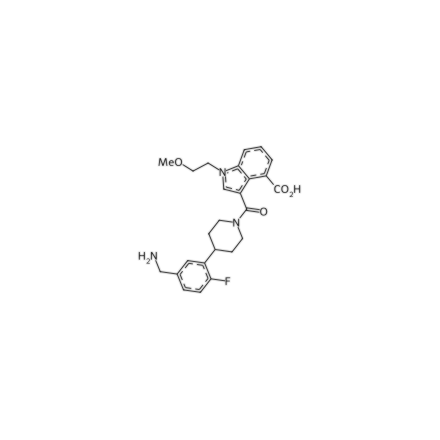 COCCn1cc(C(=O)N2CCC(c3cc(CN)ccc3F)CC2)c2c(C(=O)O)cccc21